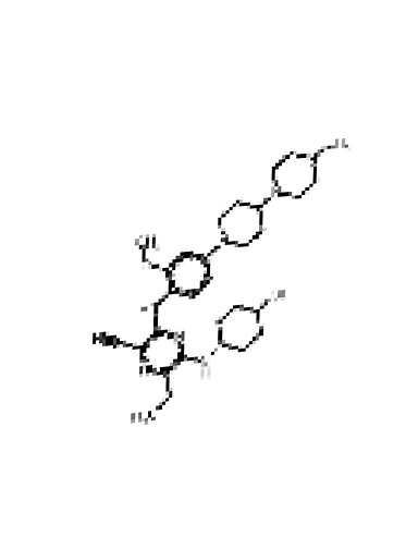 CCc1nc(C#N)c(Nc2ccc(N3CCC(N4CCN(C)CC4)CC3)cc2OC)nc1N[C@H]1CC[C@H](O)CC1